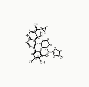 O=C(c1cnc2ccc(-c3cc(Cl)c(O)c(Cl)c3)cc2c1N[C@H]1CC[C@H](CN2CC[C@@H](F)C2)CC1)C1CC1